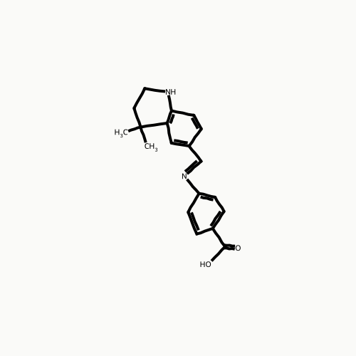 CC1(C)CCNc2ccc(C=Nc3ccc(C(=O)O)cc3)cc21